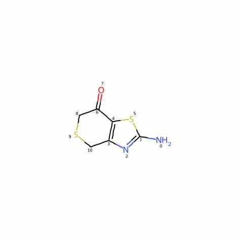 Nc1nc2c(s1)C(=O)CSC2